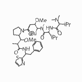 CCC(C)C(C(CC(=O)N1CCCC1C(OC)C(C)C(=O)NC(Cc1ccccc1)c1nccs1)OC)N(C)C(=O)C(NC(=O)C(C(C)C)N(C)C)C(C)C